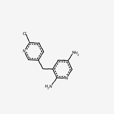 Nc1cnc(N)c(Cc2ccc(Cl)nc2)c1